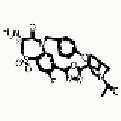 CC(=O)N1CC2CC(c3nnc(-c4cc5c(cc4F)S(=O)(=O)C[C@H](N)C(=O)N5Cc4ccc(Cl)cc4)o3)(C2)C1